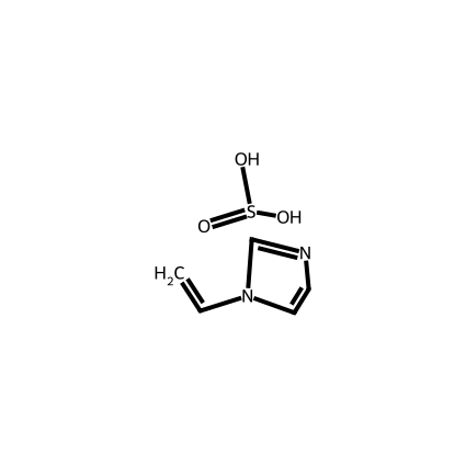 C=Cn1ccnc1.O=S(O)O